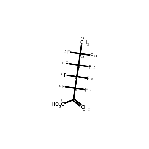 C=C(C(=O)O)C(F)(F)C(F)(F)C(F)(F)C(C)(F)F